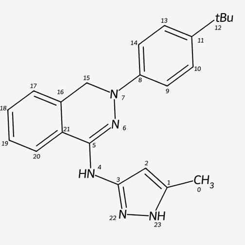 Cc1cc(NC2=NN(c3ccc(C(C)(C)C)cc3)Cc3ccccc32)n[nH]1